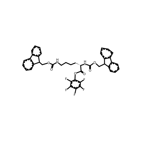 O=C(NCCCC[C@H](NC(=O)OCC1c2ccccc2-c2ccccc21)C(=O)Oc1c(F)c(F)c(F)c(F)c1F)OCC1c2ccccc2-c2ccccc21